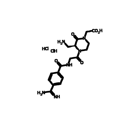 Cl.Cl.N=C(N)c1ccc(C(=O)NCC(=O)N2CCN(CC(=O)O)C(=O)[C@@H]2CN)cc1